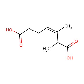 CC(=CCCC(=O)O)C(C)C(=O)O